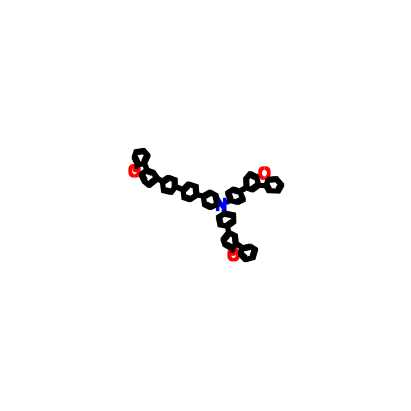 c1ccc2c(c1)oc1ccc(-c3ccc(-c4ccc(-c5ccc(N(c6ccc(-c7ccc8oc9ccccc9c8c7)cc6)c6ccc(-c7ccc8oc9ccccc9c8c7)cc6)cc5)cc4)cc3)cc12